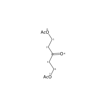 CC(=O)OCCC(=O)CCOC(C)=O